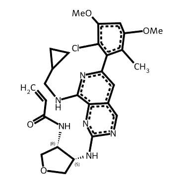 C=CC(=O)N[C@H]1COC[C@H]1Nc1ncc2cc(-c3c(C)c(OC)cc(OC)c3Cl)nc(NCC3CC3)c2n1